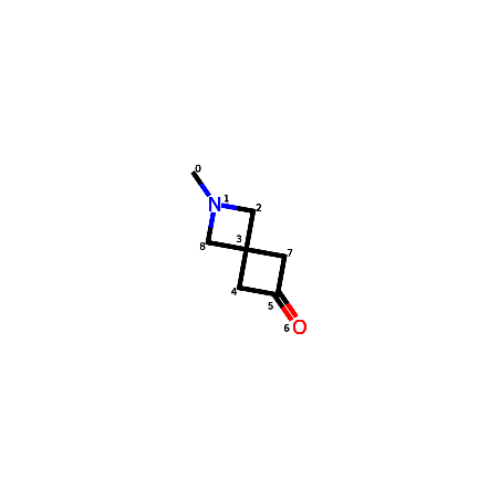 CN1CC2(CC(=O)C2)C1